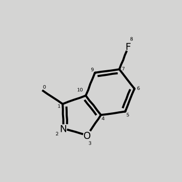 Cc1noc2ccc(F)cc12